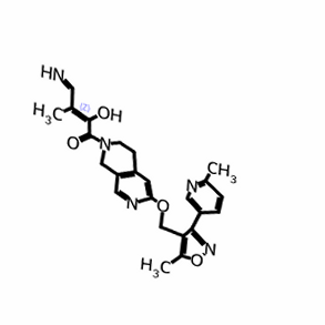 C/C(C=N)=C(/O)C(=O)N1CCc2cc(OCc3c(-c4ccc(C)nc4)noc3C)ncc2C1